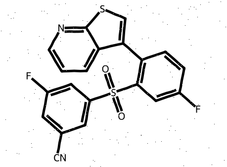 N#Cc1cc(F)cc(S(=O)(=O)c2cc(F)ccc2-c2csc3ncccc23)c1